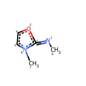 C/N=c1/occn1C